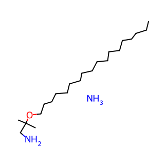 CCCCCCCCCCCCCCCCCCOC(C)(C)CN.N